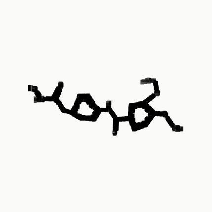 CCCCOc1ccc(C(=O)Nc2ccc(CC(=O)NO)cc2)cc1OCCCC